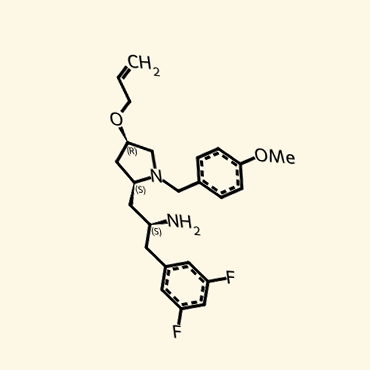 C=CCO[C@@H]1C[C@H](C[C@@H](N)Cc2cc(F)cc(F)c2)N(Cc2ccc(OC)cc2)C1